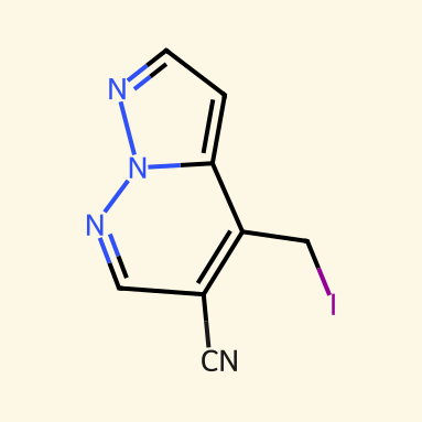 N#Cc1cnn2nccc2c1CI